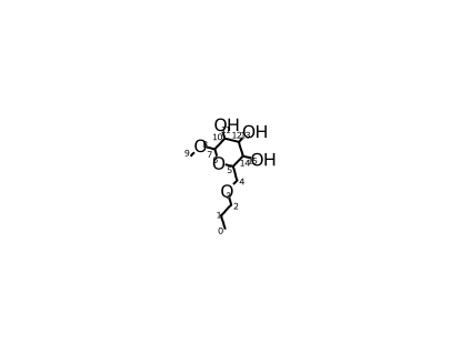 CCCOCC1OC(OC)C(O)C(O)C1O